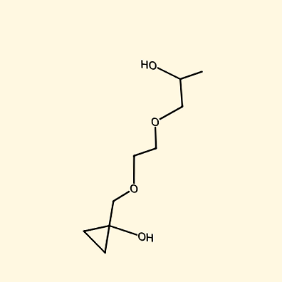 CC(O)COCCOCC1(O)CC1